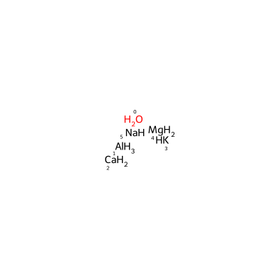 O.[AlH3].[CaH2].[KH].[MgH2].[NaH]